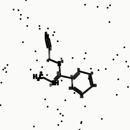 C[SH]=C(SCC#N)c1ccccc1